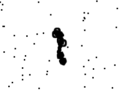 O=C(CCCCCc1ccc(-c2ccccc2)cc1)OCc1ccc2c(c1)OCO2